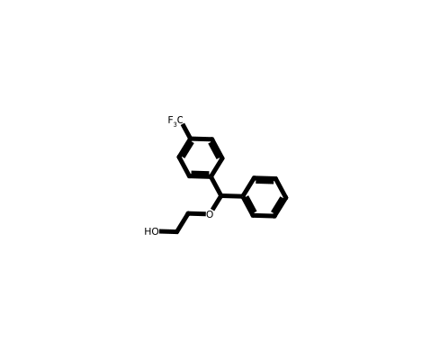 OCCOC(c1ccccc1)c1ccc(C(F)(F)F)cc1